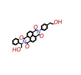 O=C1c2ccc3c4c(ccc(c24)C(=O)N1c1ccc(CCO)cc1)C(=O)N(C(CO)c1ccccc1)C3=O